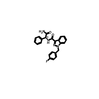 NC(=O)[C@@H](NC(=O)c1nn(Cc2ccc(F)cc2)c2ccccc12)c1ccccc1